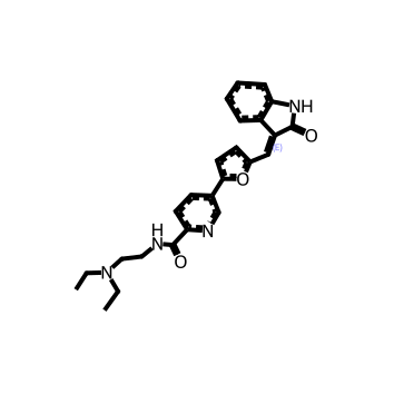 CCN(CC)CCNC(=O)c1ccc(-c2ccc(/C=C3/C(=O)Nc4ccccc43)o2)cn1